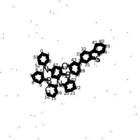 c1ccc(N2c3ccccc3B3c4ccccc4N4c5ccccc5B5c6ccc(-c7ccc8c(c7)sc7ccccc78)cc6Oc6cc2c3c4c65)cc1